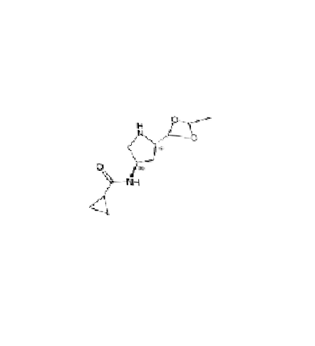 CC1OC([C@@H]2C[C@@H](NC(=O)C3CC3)CN2)O1